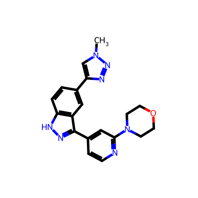 Cn1cc(-c2ccc3[nH]nc(-c4ccnc(N5CCOCC5)c4)c3c2)nn1